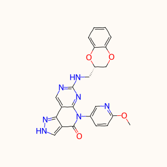 COc1ccc(-n2c(=O)c3c[nH]nc3c3cnc(NC[C@H]4COc5ccccc5O4)nc32)cn1